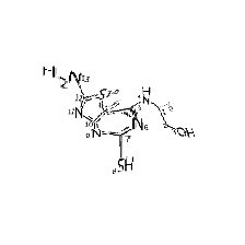 C[C@H](CO)Nc1nc(S)nc2nc(N)sc12